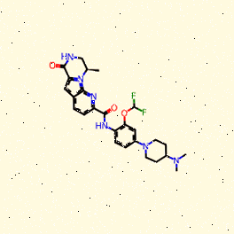 C[C@@H]1CNC(=O)c2cc3ccc(C(=O)Nc4ccc(N5CCC(N(C)C)CC5)cc4OC(F)F)nc3n21